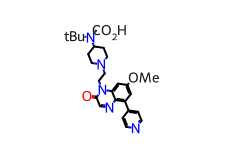 COc1cc(-c2ccncc2)c2ncc(=O)n(CCN3CCC(N(C(=O)O)C(C)(C)C)CC3)c2c1